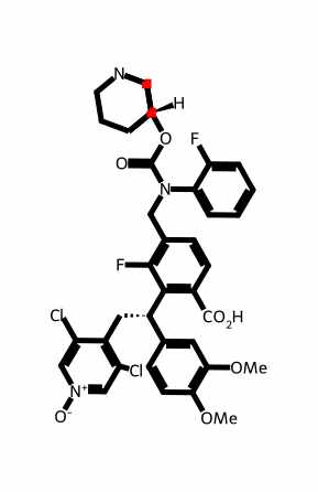 COc1ccc([C@H](Cc2c(Cl)c[n+]([O-])cc2Cl)c2c(C(=O)O)ccc(CN(C(=O)O[C@H]3CN4CCC3CC4)c3ccccc3F)c2F)cc1OC